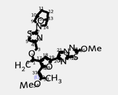 C=C(OCc1csc(N2CC3CCC(C2)O3)n1)c1cc(-c2cn3nc(OC)sc3n2)oc1/C=C(\C)OC